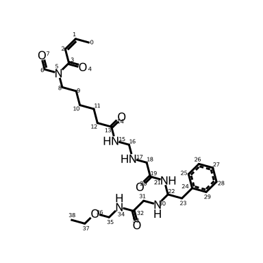 C/C=C\C(=O)N(C=O)CCCCCC(=O)NCNCC(=O)NC(Cc1ccccc1)NCC(=O)NCOCC